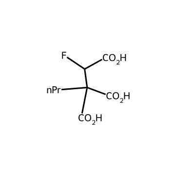 CCCC(C(=O)O)(C(=O)O)C(F)C(=O)O